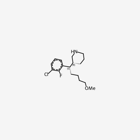 COCCCC[C@H](c1cccc(Cl)c1F)[C@H]1CCCNC1